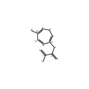 C=C(C)C(=C)CC1=CCC=C(C)C=C1